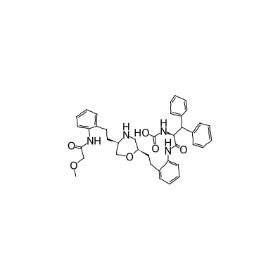 COCC(=O)Nc1ccccc1CC[C@@H]1CO[C@H](CCc2ccccc2NC(=O)[C@@H](NC(=O)O)C(c2ccccc2)c2ccccc2)CN1